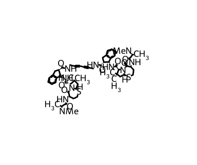 CN[C@@H](C)C(=O)N[C@H]1CCS[C@H]2CC(C)(C)[C@@H](C(=O)N[C@H]3c4ccccc4C[C@H]3C(=O)NCC#CC#CCNC(=O)[C@@H]3Cc4ccccc4[C@@H]3NC(=O)[C@H]3N4C(=O)[C@@H](NC(=O)[C@H](C)NC)CCS[C@H]4CC3(C)C)N2C1=O